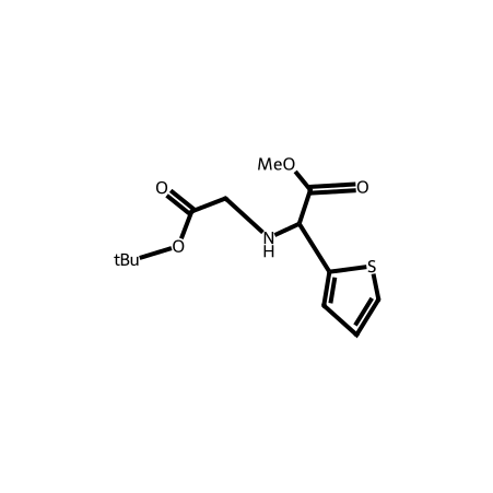 COC(=O)C(NCC(=O)OC(C)(C)C)c1cccs1